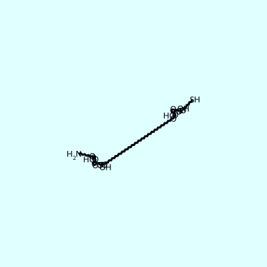 C=P(O)(OCCCCCCCCCCCCCCCCCCCCCCCCCCCCCCCCCCCCCCCCCOP(=C)(O)OC1CCOC1COP(=C)(O)OCCCCCCS)OCC1OCCC1OP(=C)(O)OCCCCCCN